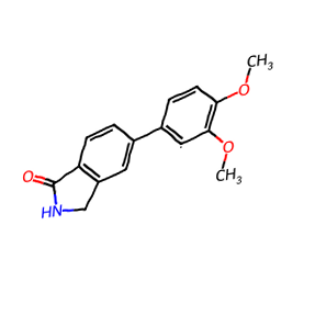 COc1[c]c(-c2ccc3c(c2)CNC3=O)ccc1OC